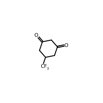 O=C1CC(=O)CC(C(F)(F)F)C1